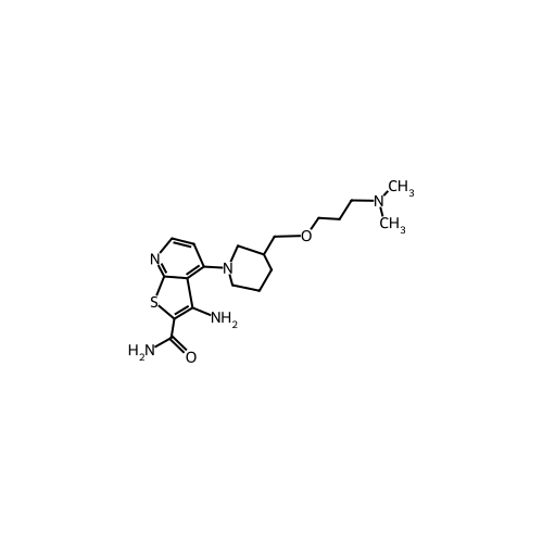 CN(C)CCCOCC1CCCN(c2ccnc3sc(C(N)=O)c(N)c23)C1